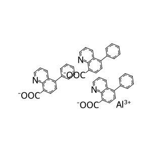 O=C([O-])c1ccc(-c2ccccc2)c2cccnc12.O=C([O-])c1ccc(-c2ccccc2)c2cccnc12.O=C([O-])c1ccc(-c2ccccc2)c2cccnc12.[Al+3]